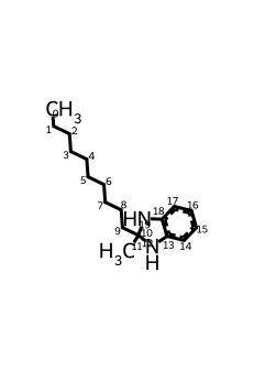 CCCCCCCCCCC1(C)Nc2ccccc2N1